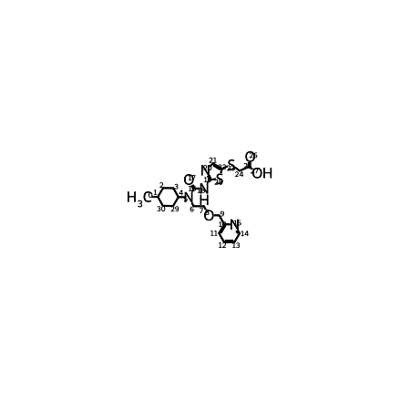 CC1CCC(N(CCOCc2ccccn2)C(=O)Nc2ncc(SCC(=O)O)s2)CC1